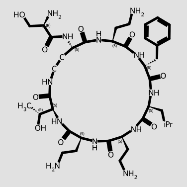 CC(C)C[C@@H]1NC(=O)[C@@H](Cc2ccccc2)NC(=O)[C@H](CCN)NC(=O)[C@@H](NC(=O)[C@H](N)CO)CCNC(=O)[C@H]([C@@H](C)O)NC(=O)[C@H](CCN)NC(=O)[C@H](CCN)NC1=O